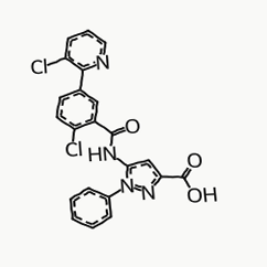 O=C(O)c1cc(NC(=O)c2cc(-c3ncccc3Cl)ccc2Cl)n(-c2ccccc2)n1